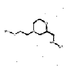 CCCCOCCN1CCOC(CNCCC)C1